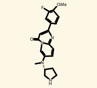 COc1ccc(-c2cc(=O)n3cc(N(C)[C@@H]4CCNC4)ccc3n2)cc1F